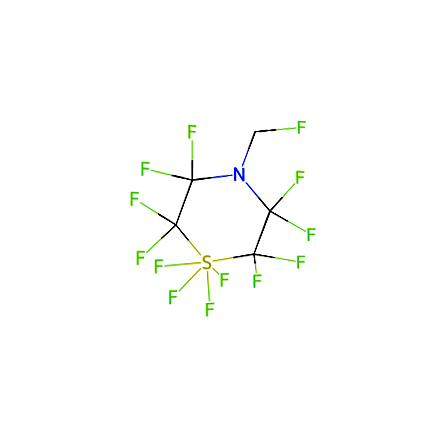 FCN1C(F)(F)C(F)(F)S(F)(F)(F)(F)C(F)(F)C1(F)F